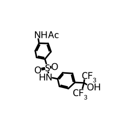 CC(=O)Nc1ccc(S(=O)(=O)Nc2ccc(C(O)(C(F)(F)F)C(F)(F)F)cc2)cc1